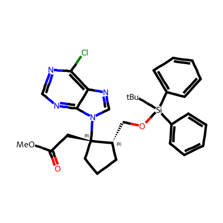 COC(=O)C[C@]1(n2cnc3c(Cl)ncnc32)CCC[C@H]1CO[Si](c1ccccc1)(c1ccccc1)C(C)(C)C